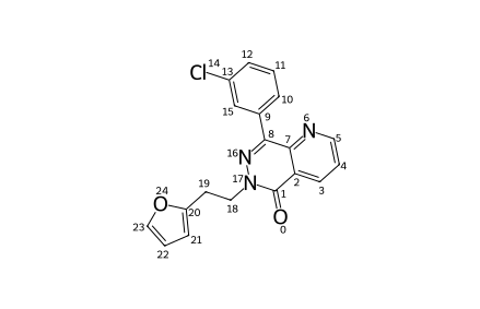 O=c1c2cccnc2c(-c2cccc(Cl)c2)nn1CCc1ccco1